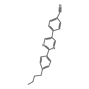 CCCCc1ccc(-c2ncc(-c3ccc(C#N)cc3)cn2)cc1